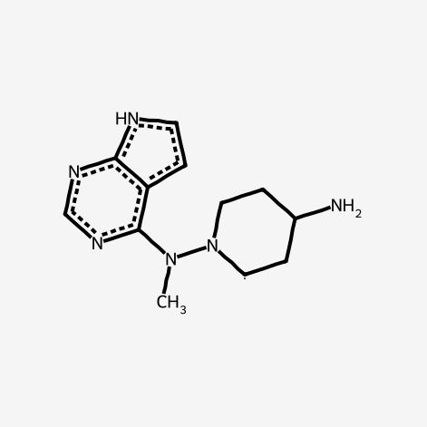 CN(c1ncnc2[nH]ccc12)N1[CH]CC(N)CC1